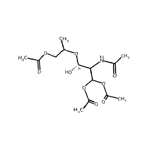 CC(=O)NC(C(OC(C)=O)OC(C)=O)[C@H](O)OC(C)COC(C)=O